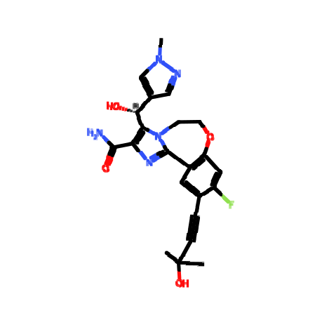 Cn1cc([C@@H](O)c2c(C(N)=O)nc3n2CCOc2cc(F)c(C#CC(C)(C)O)cc2-3)cn1